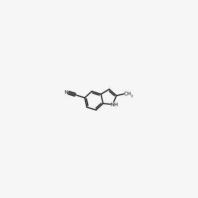 Cc1[c]c2cc(C#N)ccc2[nH]1